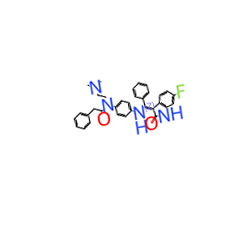 CN(C)CCN(C(=O)Cc1ccccc1)c1ccc(N/C(=C2\C(=O)Nc3cc(F)ccc32)c2ccccc2)cc1